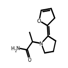 CC(C(N)=O)N1CCCC1=C1CC=CO1